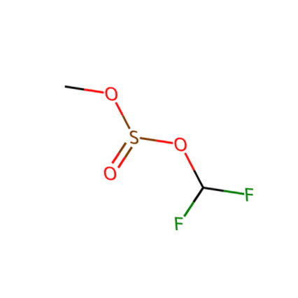 COS(=O)OC(F)F